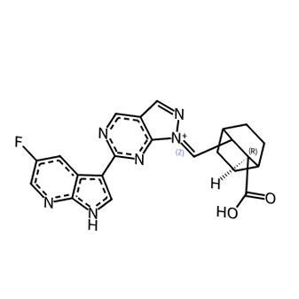 O=C(O)[C@@H]1C2CCC(CC2)C1/C=[N+]1\N=Cc2cnc(-c3c[nH]c4ncc(F)cc34)nc21